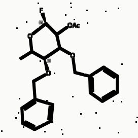 CC(=O)OC1C(OCc2ccccc2)[C@@H](OCc2ccccc2)C(C)O[C@H]1F